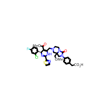 COCC12CN(CC3=C(C(=O)OC)[C@H](c4ccc(F)cc4Cl)N=C(c4nccs4)N3)CCN1C(=O)N(c1ccc(CC(=O)O)cc1)C2